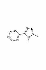 Cc1nnc(-c2ccncn2)n1C